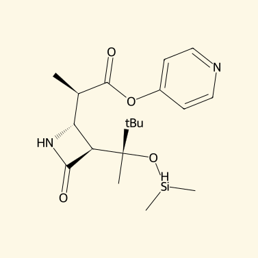 C[C@@H](C(=O)Oc1ccncc1)[C@H]1NC(=O)[C@@H]1[C@@](C)(O[SiH](C)C)C(C)(C)C